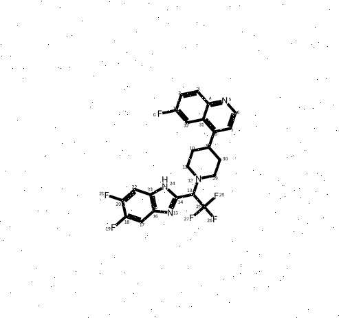 Fc1ccc2nccc(C3CCN(C(c4nc5cc(F)c(F)cc5[nH]4)C(F)(F)F)CC3)c2c1